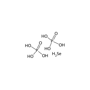 O=P(O)(O)O.O=P(O)(O)O.[SeH2]